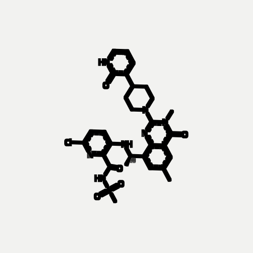 Cc1cc([C@@H](C)Nc2ccc(Cl)nc2C(=O)NS(C)(=O)=O)c2nc(N3CCC(c4ccc[nH]c4=O)CC3)n(C)c(=O)c2c1